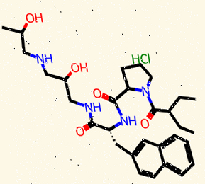 CCC(CC)C(=O)N1CCCC1C(=O)N[C@H](Cc1ccc2ccccc2c1)C(=O)NCC(O)CNCC(C)O.Cl